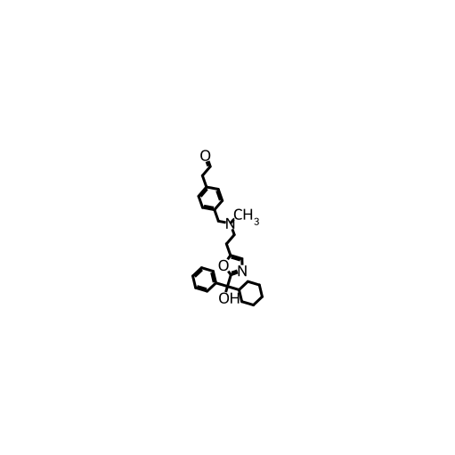 CN(CCc1cnc(C(O)(c2ccccc2)C2CCCCC2)o1)Cc1ccc(CC=O)cc1